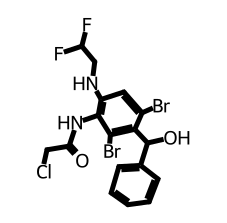 O=C(CCl)Nc1c(NCC(F)F)cc(Br)c(C(O)c2ccccc2)c1Br